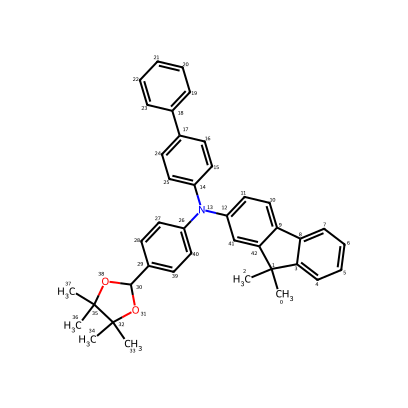 CC1(C)c2ccccc2-c2ccc(N(c3ccc(-c4ccccc4)cc3)c3ccc(C4OC(C)(C)C(C)(C)O4)cc3)cc21